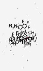 [2H]C([2H])(Oc1nc(N2CCOC[C@H]3[C@H](F)[C@H]32)c2cnc(-c3cc(N)cc4c(F)c(F)c(F)c(C#C[Si](C(C)C)(C(C)C)C(C)C)c34)c(F)c2n1)[C@@]12CCCN1C[C@H](F)C2